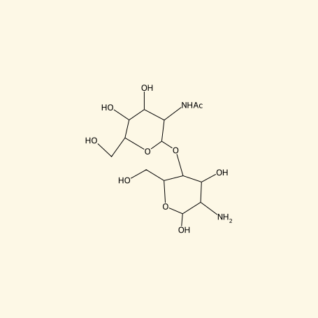 CC(=O)NC1C(OC2C(CO)OC(O)C(N)C2O)OC(CO)C(O)C1O